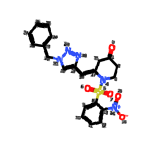 O=C1CCN(S(=O)(=O)c2ccccc2[N+](=O)[O-])C(=Cc2cn(Cc3ccccc3)nn2)C1